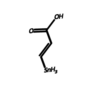 O=C(O)/C=[CH]/[SnH3]